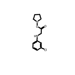 O=C(CNc1cccc(Cl)c1)ON1CCCC1